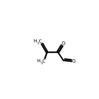 C=C(C)C(=O)[C]=O